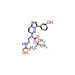 CC(C)(C)OC(=O)N(CCNC(=O)CO)c1ccc2ncc(-c3cccc(O)c3)n2n1